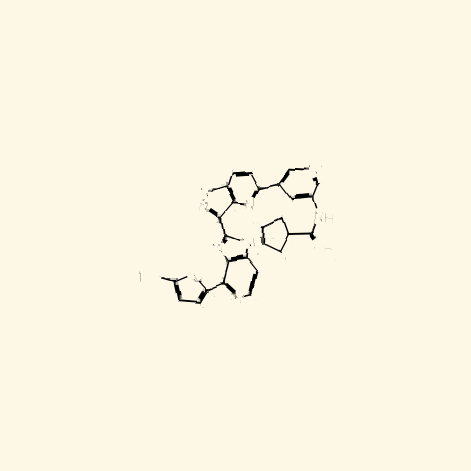 C=C(Nc1cncc(-c2ccc3[nH]nc(-c4nc5c(-c6ccc(C)s6)nccc5[nH]4)c3n2)c1)C1CCCC1